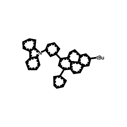 CC(C)(C)c1cc2ccc3c(-c4ccccc4)cc(-c4cccc(-n5c6ccccc6c6ccccc65)c4)c4ccc(c1)c2c34